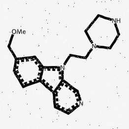 COCc1ccc2c3ccncc3n(CCN3CCNCC3)c2c1